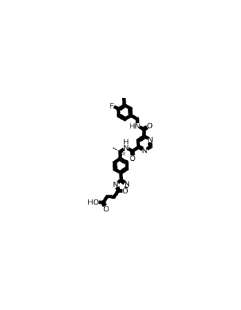 Cc1cc(CNC(=O)c2cc(C(=O)N[C@@H](C)c3ccc(-c4noc(CCC(=O)O)n4)cc3)ncn2)ccc1F